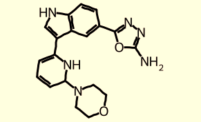 Nc1nnc(-c2ccc3[nH]cc(C4=CC=CC(N5CCOCC5)N4)c3c2)o1